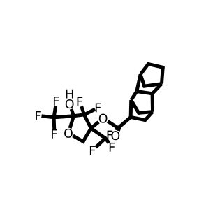 O=C(OC1(C(F)(F)F)COC(O)(C(F)(F)F)C1(F)F)C1CC2CC1C1C3CCC(C3)C21